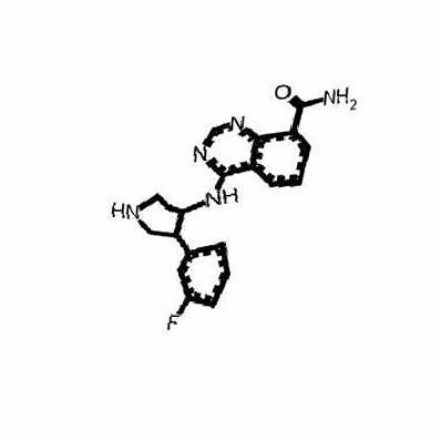 NC(=O)c1cccc2c(NC3CNCC3c3cccc(F)c3)ncnc12